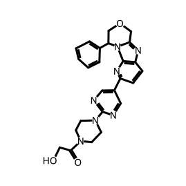 O=C(CO)N1CCN(c2ncc(-c3ccc4nc5n(c4n3)C(c3ccccc3)COC5)cn2)CC1